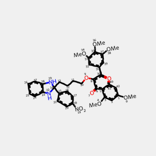 COc1cc(OC)c2c(=O)c(OCCCCC3(c4ccc([N+](=O)[O-])cc4)Nc4ccccc4N3)c(-c3cc(OC)c(OC)c(OC)c3)oc2c1